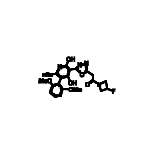 CCCCc1nc(O)c(-c2nnc(CC(=O)N3CC(F)C3)o2)c(O)c1-c1c(OC)cccc1OC